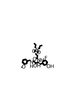 CCCN(CCC)S(=O)(=O)CCC(=O)N[C@@H](Cc1cc(O)cc(F)c1)[C@H](O)CNCc1cccc(OC)c1